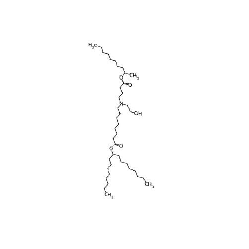 CCCCCCCCC(C)OC(=O)CCCN(CCO)CCCCCCCC(=O)OC(CCCCCCCC)CCCCCCCC